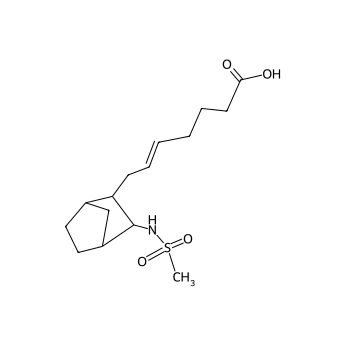 CS(=O)(=O)NC1C2CCC(C2)C1CC=CCCCC(=O)O